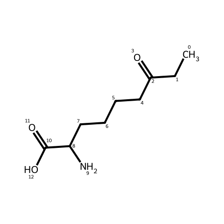 CCC(=O)CCCCC(N)C(=O)O